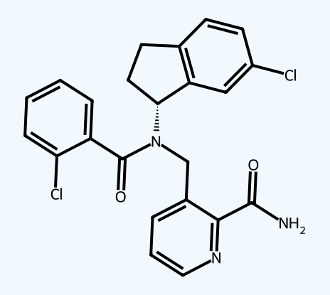 NC(=O)c1ncccc1CN(C(=O)c1ccccc1Cl)[C@@H]1CCc2ccc(Cl)cc21